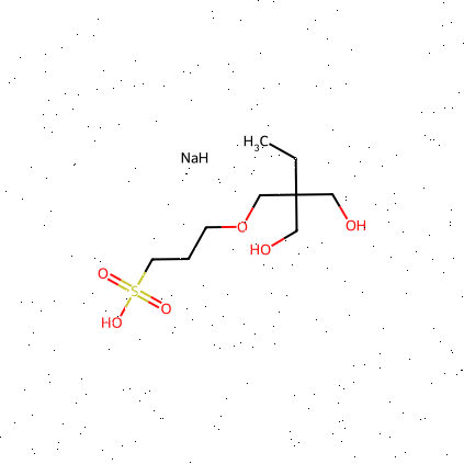 CCC(CO)(CO)COCCCS(=O)(=O)O.[NaH]